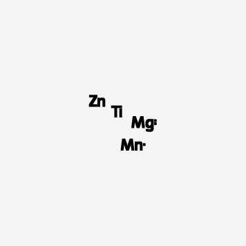 [Mg].[Mn].[Ti].[Zn]